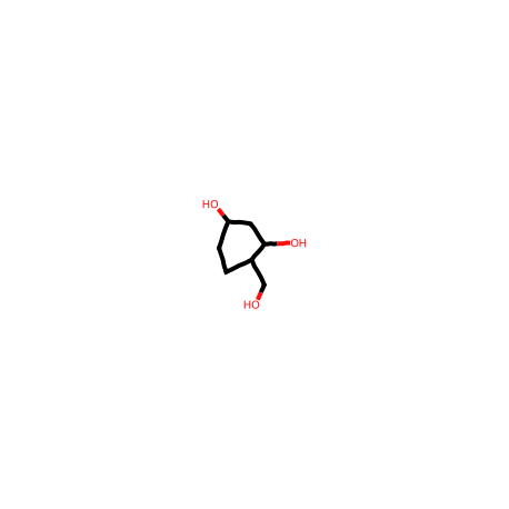 OCC1CCC(O)CC1O